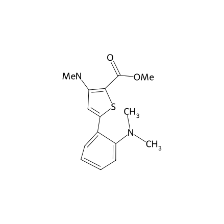 CNc1cc(-c2ccccc2N(C)C)sc1C(=O)OC